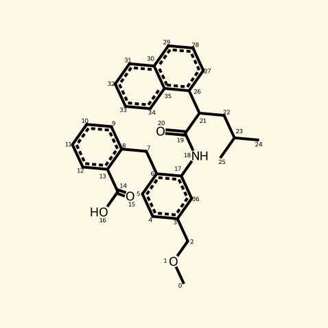 COCc1ccc(Cc2ccccc2C(=O)O)c(NC(=O)C(CC(C)C)c2cccc3ccccc23)c1